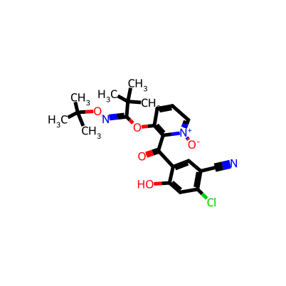 CC(C)(C)ON=C(Oc1ccc[n+]([O-])c1C(=O)c1cc(C#N)c(Cl)cc1O)C(C)(C)C